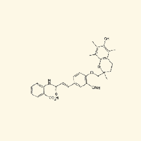 COc1cc(/C=C/C(=O)Nc2ccccc2C(=O)O)ccc1OCC1(C)CCc2c(C)c(O)c(C)c(C)c2O1